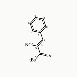 CC(C)(C)C(=O)/C(C#N)=C/c1ccccc1